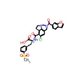 CS(=O)(=O)c1cccc(C[C@H](NC(=O)c2c(Cl)cc3c4c2CCN4CN(C(=O)c2ccc4ccoc4c2)C3)C(=O)O)c1